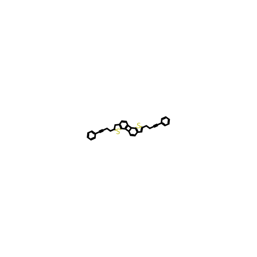 C(#Cc1ccccc1)CCc1cc2c(s1)C1c3ccc4c(c3C1C=C2)SC(CCC#Cc1ccccc1)C4